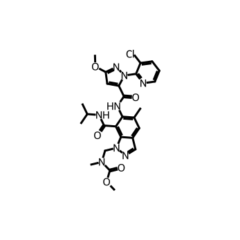 COC(=O)N(C)Cn1ncc2cc(C)c(NC(=O)c3cc(OC)nn3-c3ncccc3Cl)c(C(=O)NC(C)C)c21